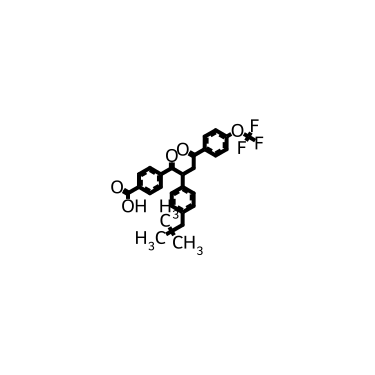 CC(C)(C)Cc1ccc(C(CC(=O)c2ccc(OC(F)(F)F)cc2)C(=O)c2ccc(C(=O)O)cc2)cc1